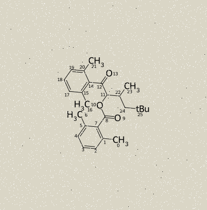 Cc1cccc(C)c1C(=O)OC(C(=O)c1c(C)cccc1C)C(C)CC(C)(C)C